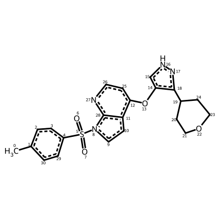 Cc1ccc(S(=O)(=O)n2ccc3c(Oc4c[nH]nc4C4CCOCC4)ccnc32)cc1